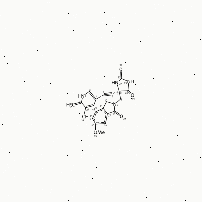 C=C1NC=C(C#C[C@]2(CN3Cc4ccc(OC)cc4C3=O)NC(=O)NC2=O)C=C1C